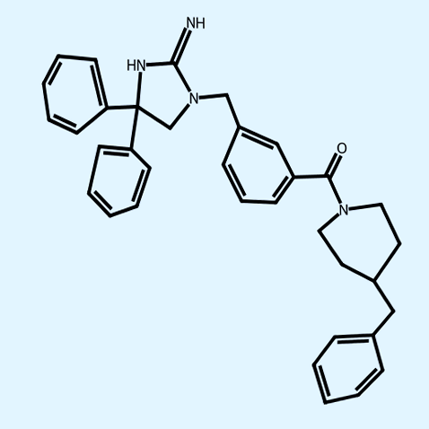 N=C1NC(c2ccccc2)(c2ccccc2)CN1Cc1cccc(C(=O)N2CCC(Cc3ccccc3)CC2)c1